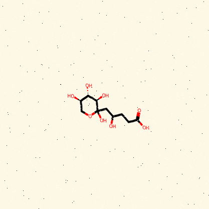 O=C(O)CCC(O)CC1(O)OC[C@@H](O)[C@H](O)[C@H]1O